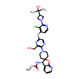 CC(C)(C)OC(=O)N[C@@H]1c2cccnc2OC12CCN(c1ncc(Sc3ccnc(N4CC(C(C)(C)O)C4)c3Cl)nc1CO)CC2